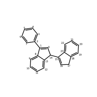 C1=C(c2ccccc2)c2ccccc2C1C1=CCc2ccccc21